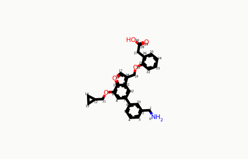 NCc1cccc(-c2cc(OCC3CC3)c3occ(COc4ccccc4CC(=O)O)c3c2)c1